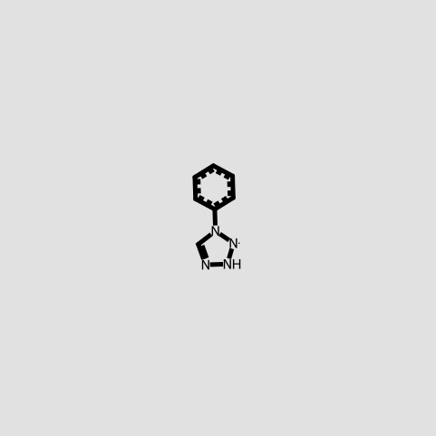 C1=NN[N]N1c1ccccc1